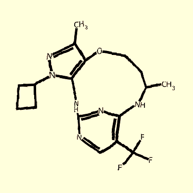 Cc1nn(C2CCC2)c2c1OCCC(C)Nc1nc(ncc1C(F)(F)F)N2